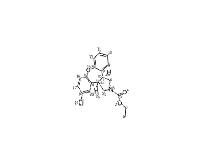 CCOC(=O)N1C[C@@H]2c3ccccc3Oc3ccc(Cl)cc3[C@H]2C1